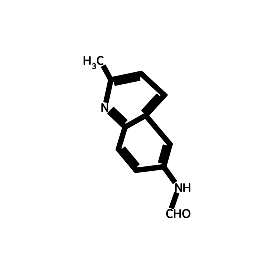 Cc1ccc2cc(NC=O)ccc2n1